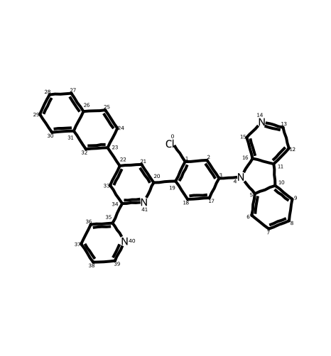 Clc1cc(-n2c3ccccc3c3ccncc32)ccc1-c1cc(-c2ccc3ccccc3c2)cc(-c2ccccn2)n1